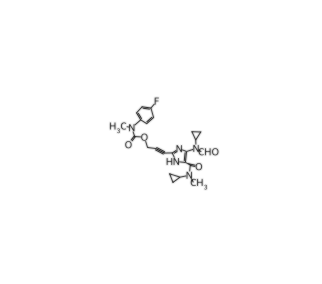 CN(C(=O)OCC#Cc1nc(N(C=O)C2CC2)c(C(=O)N(C)C2CC2)[nH]1)c1ccc(F)cc1